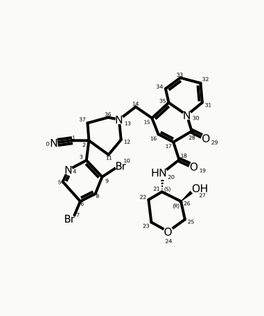 N#CC1(c2ncc(Br)cc2Br)CCN(Cc2cc(C(=O)N[C@H]3CCOC[C@@H]3O)c(=O)n3ccccc23)CC1